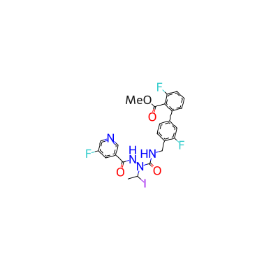 COC(=O)c1c(F)cccc1-c1ccc(CNC(=O)N(NC(=O)c2cncc(F)c2)C(C)I)c(F)c1